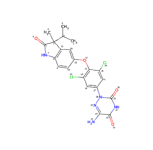 CC(C)C1(C)C(=O)Nc2ccc(Oc3c(Cl)cc(-n4nc(N)c(=O)[nH]c4=O)cc3Cl)cc21